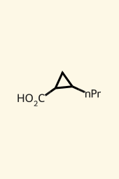 CCCC1CC1C(=O)O